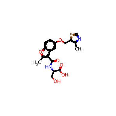 Cc1ncsc1COc1ccc2oc(C)c(C(=O)NC(CO)C(=O)O)c2c1